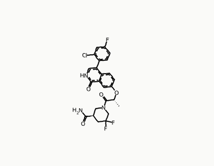 C[C@@H](Oc1ccc2c(-c3ccc(F)cc3Cl)c[nH]c(=O)c2c1)C(=O)N1C[C@H](C(N)=O)CC(F)(F)C1